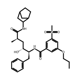 CCCOc1cc(C(=O)N[C@@H](Cc2ccccc2)[C@H](O)C[C@@H](C)C(=O)NC2CC3CCC2C3)cc(S(C)(=O)=O)c1